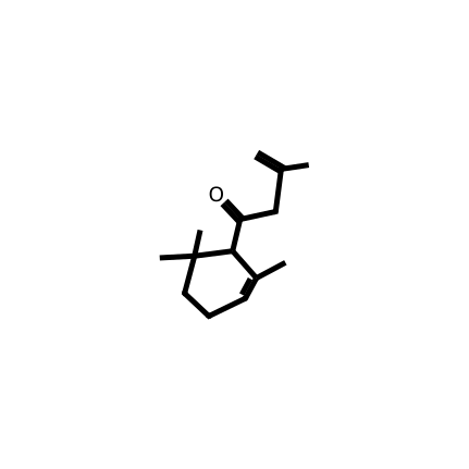 C=C(C)CC(=O)C1C(C)=CCCC1(C)C